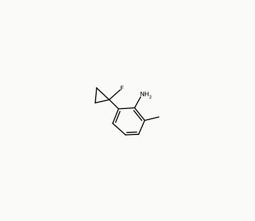 Cc1cccc(C2(F)CC2)c1N